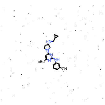 CCCCc1cc(N2CC[C@H](NCC3CC3)C2)nc(Nc2cccc(C#N)c2)n1